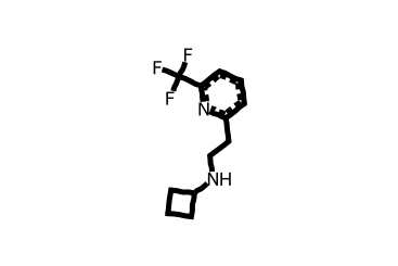 FC(F)(F)c1cccc(CCNC2CCC2)n1